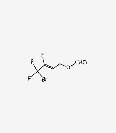 O=[C]OCC=C(F)C(F)(F)Br